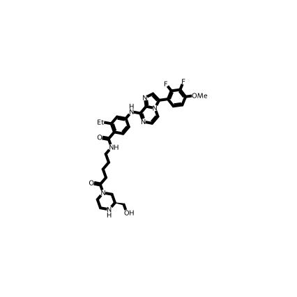 CCc1cc(Nc2nccn3c(-c4ccc(OC)c(F)c4F)cnc23)ccc1C(=O)NCCCCC(=O)N1CCN[C@H](CO)C1